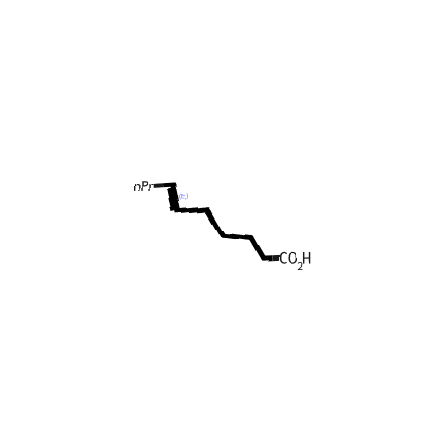 CCC/C=C/CCCCC(=O)O